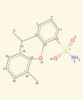 CCc1cccc(S(N)(=O)=O)c1Oc1c(C)cccc1C